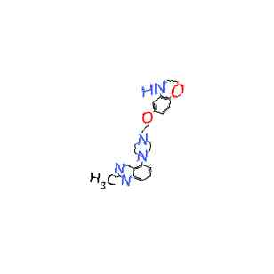 Cc1ncc2c(N3CCN(CCOc4ccc5c(c4)NCCO5)CC3)cccc2n1